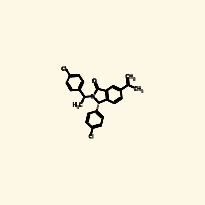 C=C(C)c1ccc2c(c1)C(=O)N([C@@H](C)c1ccc(Cl)cc1)[C@H]2c1ccc(Cl)cc1